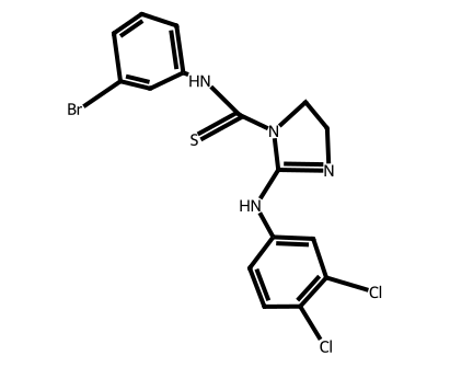 S=C(Nc1cccc(Br)c1)N1CCN=C1Nc1ccc(Cl)c(Cl)c1